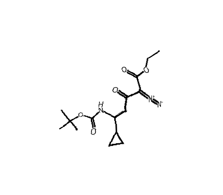 CCOC(=O)C(=[N+]=[N-])C(=O)CC(NC(=O)OC(C)(C)C)C1CC1